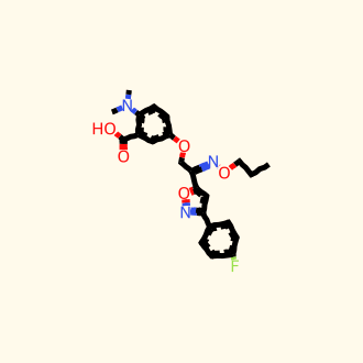 CCCON=C(COc1ccc(N(C)C)c(C(=O)O)c1)c1cc(-c2ccc(F)cc2)no1